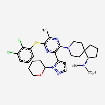 Cc1nc(N2CCC3(CCC[C@H]3N(C(=O)O)C(C)(C)C)CC2)c(-c2ccnn2C2CCCCO2)nc1Sc1cccc(Cl)c1Cl